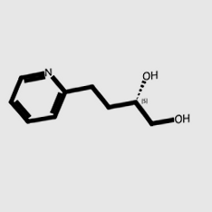 OC[C@@H](O)CCc1ccccn1